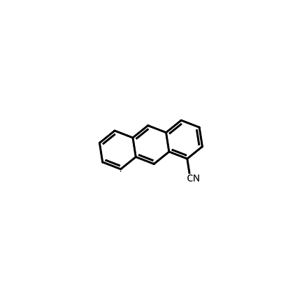 N#Cc1cccc2cc3ccc[c]c3cc12